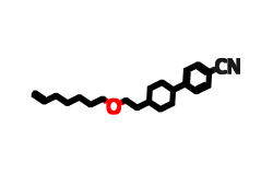 C=CCCCCCOCCC1CCC(c2ccc(C#N)cc2)CC1